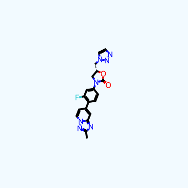 Cc1nc2cc(-c3ccc(N4C[C@H](Cn5ccnn5)OC4=O)cc3F)ccn2n1